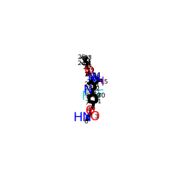 CNC(=O)OCc1cc(F)c(-c2cc3c(I)nn(COCC[Si](C)(C)C)c3cn2)c(F)c1